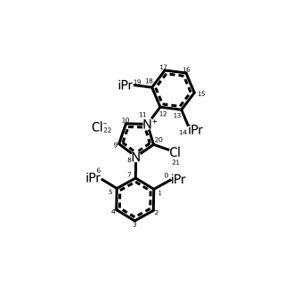 CC(C)c1cccc(C(C)C)c1-n1cc[n+](-c2c(C(C)C)cccc2C(C)C)c1Cl.[Cl-]